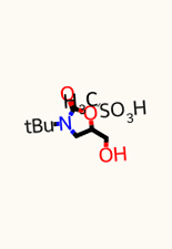 CC(C)(C)N1CC(CO)OC1=O.CS(=O)(=O)O